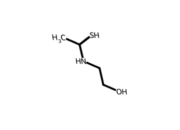 CC(S)NCCO